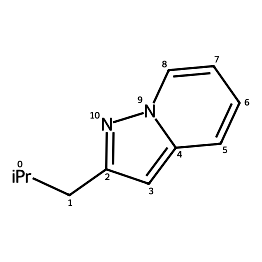 CC(C)Cc1cc2ccccn2n1